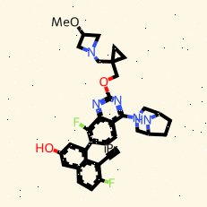 C#Cc1c(F)ccc2cc(O)cc(-c3c(C(C)C)cc4c(N5CC6CCC(C5)N6)nc(OCC5(CN6CC(OC)C6)CC5)nc4c3F)c12